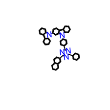 c1ccc(-c2nc(-c3ccc(-n4c5ccccc5c5ccc(-n6c7ccccc7c7ccccc76)cc54)cc3)nc(-c3ccc4ccccc4c3)n2)cc1